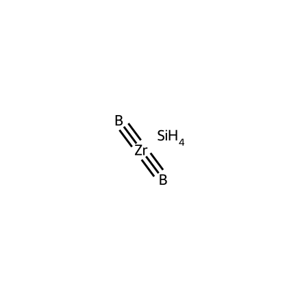 [B]#[Zr]#[B].[SiH4]